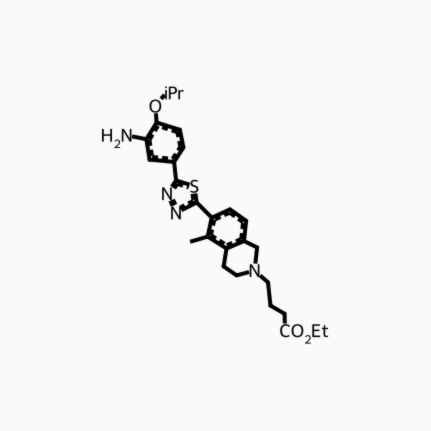 CCOC(=O)CCCN1CCc2c(ccc(-c3nnc(-c4ccc(OC(C)C)c(N)c4)s3)c2C)C1